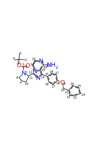 CC(C)(C)OC(=O)N1CCCC1c1nc(-c2ccc(OCc3ccccc3)cc2)c2c(N)nccn12